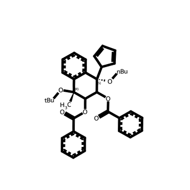 CCCCO[C@@]1(C2C=CC=C2)c2ccccc2[C@@](C)(OC(C)(C)C)C(OC(=O)c2ccccc2)C1OC(=O)c1ccccc1